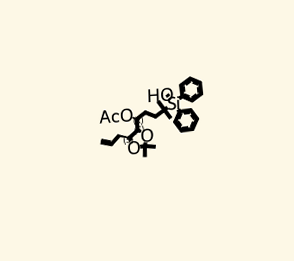 C=CC[C@@H]1OC(C)(C)O[C@@H]1[C@@H](CCC(C)(C)[Si](O)(c1ccccc1)c1ccccc1)OC(C)=O